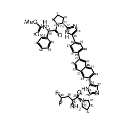 COC(=O)N[C@@H](C(=O)N1CCC[C@H]1c1ncc(-c2ccc(-c3ccc4cc(-c5cnc([C@@H]6CCCN6C(=O)[C@@H](N)CC(F)F)[nH]5)ccc4c3)cc2)[nH]1)c1ccccc1